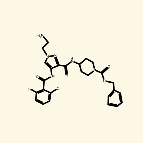 NCCn1cc(NC(=O)c2c(Cl)cccc2Cl)c(C(=O)NC2CCN(C(=O)OCc3ccccc3)CC2)n1